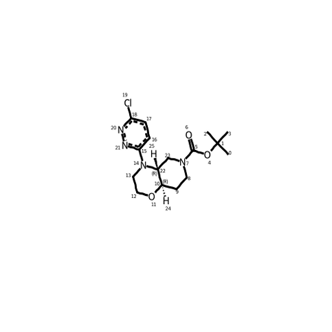 CC(C)(C)OC(=O)N1CC[C@H]2OCCN(c3ccc(Cl)nn3)[C@@H]2C1